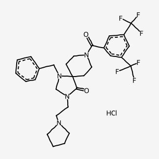 Cl.O=C(c1cc(C(F)(F)F)cc(C(F)(F)F)c1)N1CCC2(CC1)C(=O)N(CCN1CCCC1)CN2Cc1ccccc1